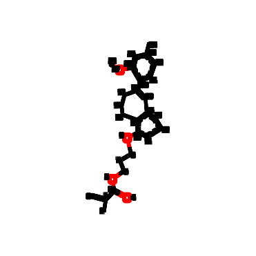 C=C(C)C(=O)OCCCOc1cccc2c1CCCC(c1ccc(C)cc1OC)=C2